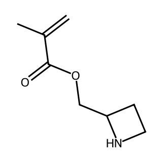 C=C(C)C(=O)OCC1CCN1